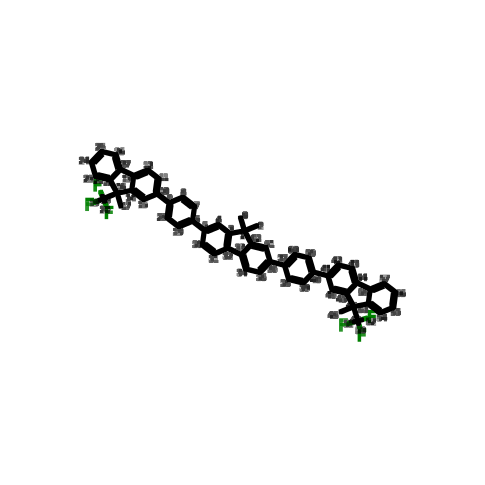 CC1(C)c2cc(-c3ccc(-c4ccc5c(c4)C(C)(C(F)(F)F)c4ccccc4-5)cc3)ccc2-c2ccc(-c3ccc(-c4ccc5c(c4)C(C)(C(F)(F)F)c4ccccc4-5)cc3)cc21